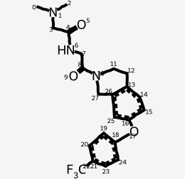 CN(C)CC(=O)NCC(=O)N1CCc2ccc(Oc3ccc(C(F)(F)F)cc3)cc2C1